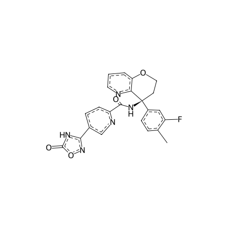 Cc1ccc([C@@]2(NC(=O)c3ccc(-c4noc(=O)[nH]4)cn3)CCOc3cccnc32)cc1F